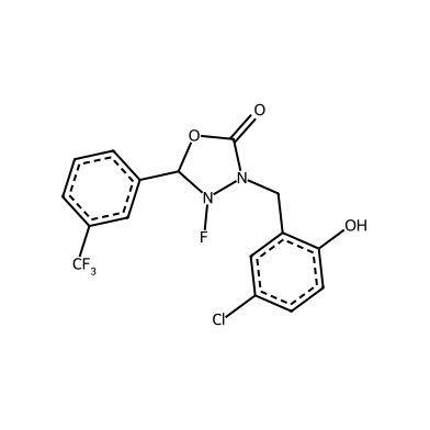 O=C1OC(c2cccc(C(F)(F)F)c2)N(F)N1Cc1cc(Cl)ccc1O